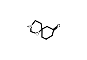 O=C1CCCC2(CCNCO2)C1